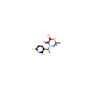 C[C@H]1CN([C@@H](C)c2ccc(F)nc2F)C(=O)C(=O)O1